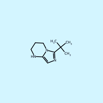 CC(C)(C)c1ncc2n1CCCN2